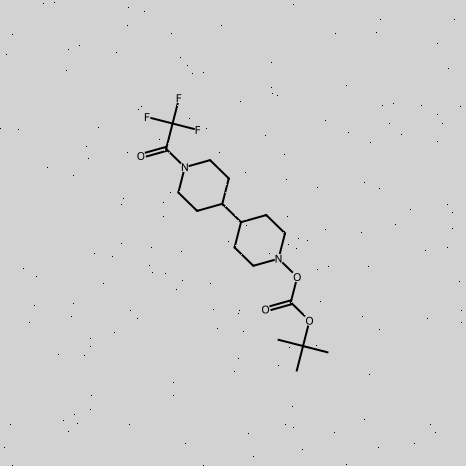 CC(C)(C)OC(=O)ON1CCC(C2CCN(C(=O)C(F)(F)F)CC2)CC1